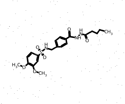 CCCCC(=O)NNC(=O)c1ccc(CNS(=O)(=O)c2ccc(OC)c(OC)c2)cc1